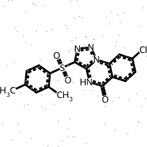 Cc1ccc(S(=O)(=O)c2nnn3c2[nH]c(=O)c2ccc(Cl)cc23)c(C)c1